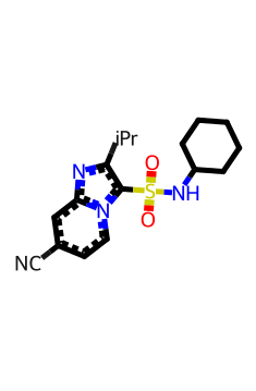 CC(C)c1nc2cc(C#N)ccn2c1S(=O)(=O)NC1CCCCC1